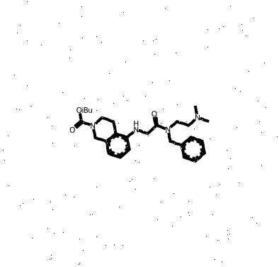 CC(C)COC(=O)N1CCc2c(cccc2NCC(=O)N(CCN(C)C)Cc2ccccc2)C1